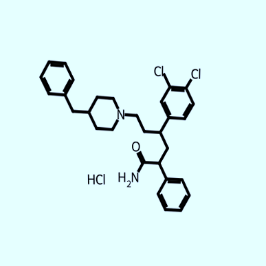 Cl.NC(=O)C(CC(CCN1CCC(Cc2ccccc2)CC1)c1ccc(Cl)c(Cl)c1)c1ccccc1